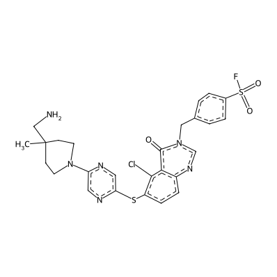 CC1(CN)CCN(c2cnc(Sc3ccc4ncn(Cc5ccc(S(=O)(=O)F)cc5)c(=O)c4c3Cl)cn2)CC1